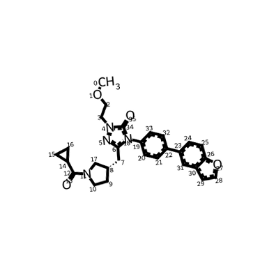 COCCn1nc(C[C@@H]2CCN(C(=O)C3CC3)C2)n(-c2ccc(-c3ccc4occc4c3)cc2)c1=O